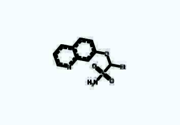 CCC(Oc1ccc2cccnc2c1)S(N)(=O)=O